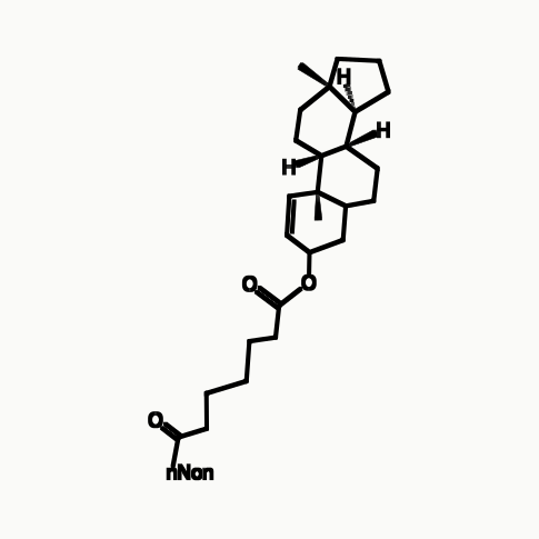 CCCCCCCCCC(=O)CCCCCC(=O)OC1C=C[C@@]2(C)C(CC[C@@H]3[C@H]2CC[C@]2(C)CCC[C@@H]32)C1